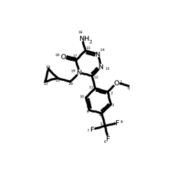 COc1cc(C(F)(F)F)ccc1-c1nnc(N)c(=O)n1CC1CC1